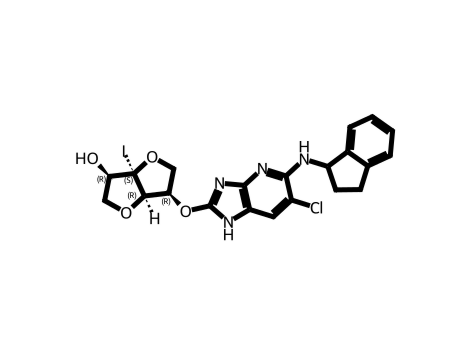 O[C@@H]1CO[C@@H]2[C@H](Oc3nc4nc(NC5CCc6ccccc65)c(Cl)cc4[nH]3)CO[C@]12I